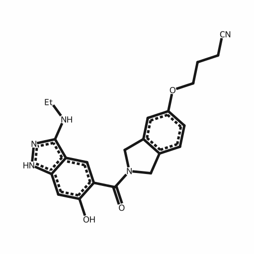 CCNc1n[nH]c2cc(O)c(C(=O)N3Cc4ccc(OCCCC#N)cc4C3)cc12